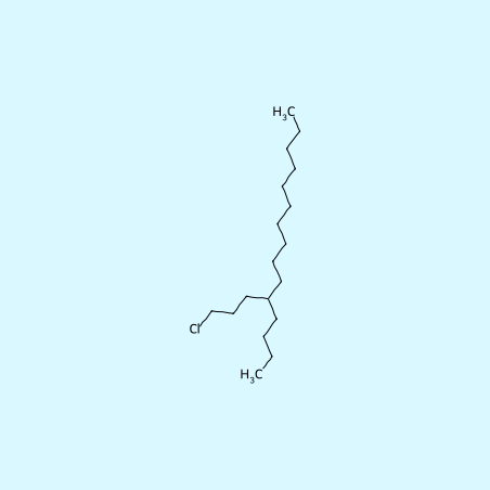 CCCCCCCCCCC(CCCC)CCCCl